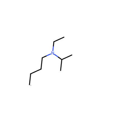 [CH2]CCCN(CC)C(C)C